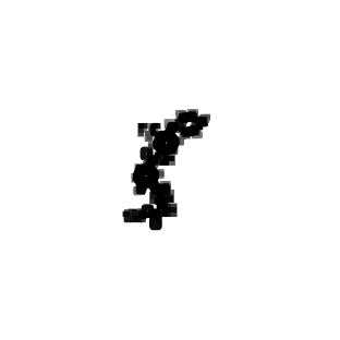 Cc1ccc(C(=O)Nc2ccc(CN3CCN(C)CC3)c(C(F)(F)F)c2)cc1-c1cnc(NC(=O)OC(C)(C)C)s1